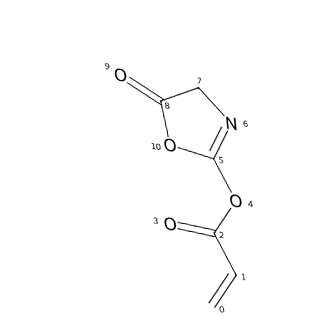 C=CC(=O)OC1=NCC(=O)O1